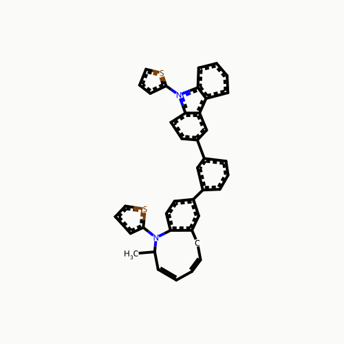 CC1/C=C\C=C/Cc2cc(-c3cccc(-c4ccc5c(c4)c4ccccc4n5-c4cccs4)c3)ccc2N1c1cccs1